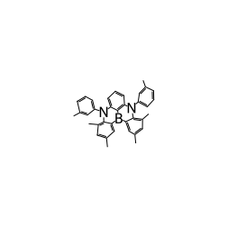 Cc1cccc(N2c3cccc4c3B(c3cc(C)cc(C)c32)c2cc(C)cc(C)c2N4c2cccc(C)c2)c1